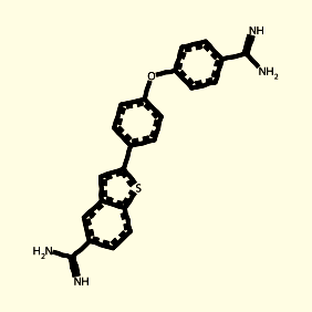 N=C(N)c1ccc(Oc2ccc(-c3cc4cc(C(=N)N)ccc4s3)cc2)cc1